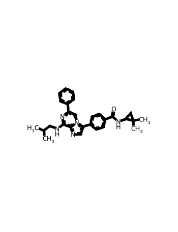 CC(C)CNc1nc(-c2ccccc2)cn2c(-c3ccc(C(=O)NC4CC4(C)C)cc3)cnc12